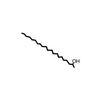 CCCCCCCCCCCCCCCCCCCC(C)O